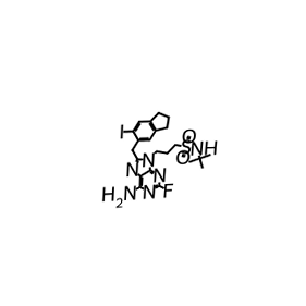 CC(C)(C)NS(=O)(=O)CCCn1c(Cc2cc3c(cc2I)CCC3)nc2c(N)nc(F)nc21